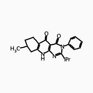 CC1CCc2c([nH]c3nc(C(C)C)n(-c4ccccc4)c(=O)c3c2=O)C1